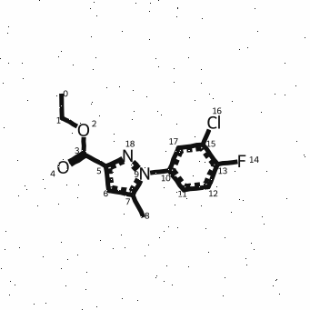 CCOC(=O)c1cc(C)n(-c2ccc(F)c(Cl)c2)n1